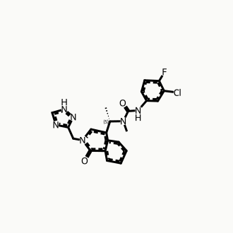 C[C@@H](c1cn(Cc2nc[nH]n2)c(=O)c2ccccc12)N(C)C(=O)Nc1ccc(F)c(Cl)c1